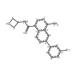 Nc1ncc(C(=O)NC2COC2)c2ccc(-c3cccc(F)c3)cc12